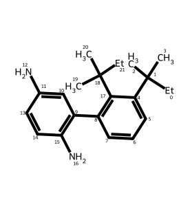 CCC(C)(C)c1cccc(-c2cc(N)ccc2N)c1C(C)(C)CC